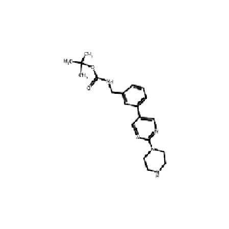 CC(C)(C)OC(=O)NCc1cccc(-c2cnc(N3CCNCC3)nc2)c1